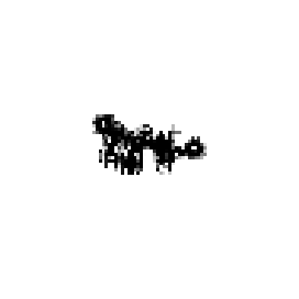 CC(C)OC(=O)[C@H](C)NP(=O)(OC[C@H]1OC2(F)C([C@@H]2n2cnc3c(NCc4ccccc4)nc(Cl)nc32)C1(C)Cc1nnn[nH]1)Oc1ccccc1